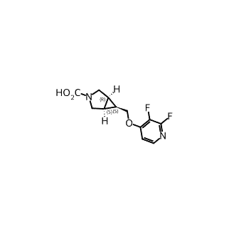 O=C(O)N1C[C@@H]2[C@H](COc3ccnc(F)c3F)[C@@H]2C1